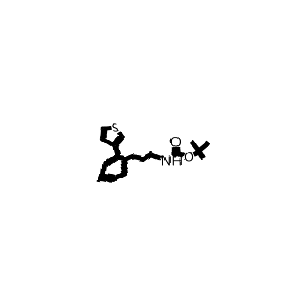 CC(C)(C)OC(=O)NCCCc1ccccc1-c1ccsc1